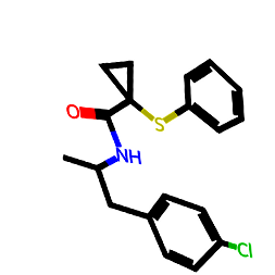 CC(Cc1ccc(Cl)cc1)NC(=O)C1(Sc2ccccc2)CC1